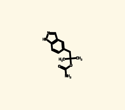 CC(C)(Cc1ccc2[nH]ncc2c1)OC(N)=O